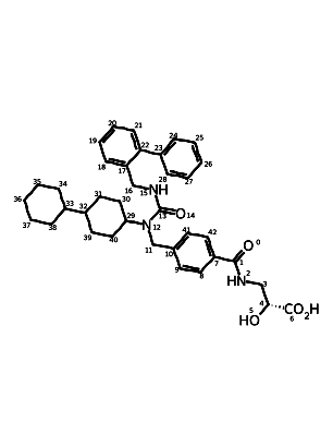 O=C(NC[C@@H](O)C(=O)O)c1ccc(CN(C(=O)NCc2ccccc2-c2ccccc2)C2CCC(C3CCCCC3)CC2)cc1